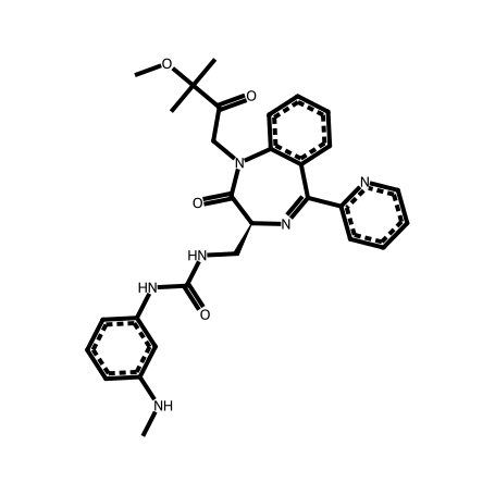 CNc1cccc(NC(=O)NC[C@@H]2N=C(c3ccccn3)c3ccccc3N(CC(=O)C(C)(C)OC)C2=O)c1